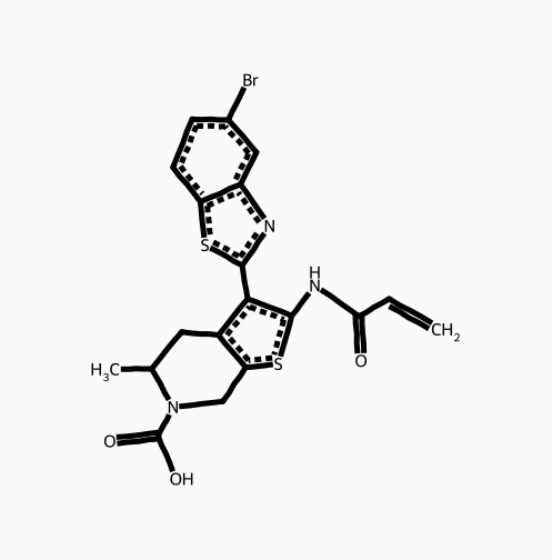 C=CC(=O)Nc1sc2c(c1-c1nc3cc(Br)ccc3s1)CC(C)N(C(=O)O)C2